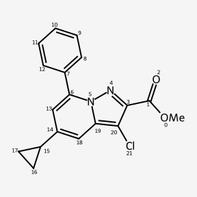 COC(=O)c1nn2c(-c3ccccc3)cc(C3CC3)cc2c1Cl